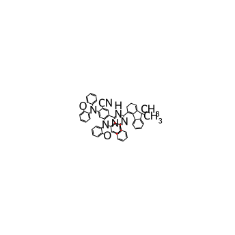 CC1(C)C2=CCCC(C3N=C(c4ccccc4)N=C(c4cc(C#N)c(N5c6ccccc6Oc6ccccc65)cc4N4c5ccccc5Oc5ccccc54)N3)=C2c2ccccc21